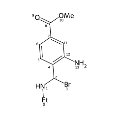 CCNC(Br)c1ccc(C(=O)OC)cc1N